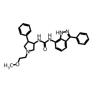 COCCN1CC(NC(=O)Nc2cccc3c(-c4ccccc4)n[nH]c23)C(c2ccccc2)C1